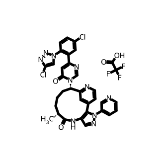 C[C@@H]1CCC[C@H](n2cnc(-c3cc(Cl)ccc3-n3cc(Cl)nn3)cc2=O)c2cc(ccn2)-c2c(cnn2-c2cccnc2)NC1=O.O=C(O)C(F)(F)F